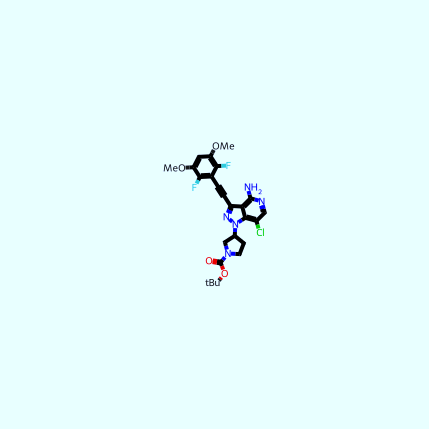 COc1cc(OC)c(F)c(C#Cc2nn(C3CCN(C(=O)OC(C)(C)C)C3)c3c(Cl)cnc(N)c23)c1F